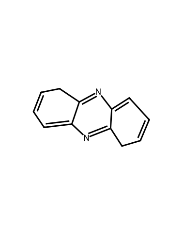 C1=CCc2nc3c(nc2=C1)CC=CC=3